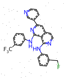 FCc1cccc(Nc2nccc3cc(-c4cccnc4)nc(Nc4cccc(C(F)(F)F)c4)c23)c1